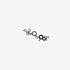 COCC(=O)N[C@@H]1CCC[C@H](Oc2ccc3[nH]ncc3c2C)C1